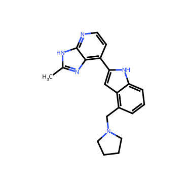 Cc1nc2c(-c3cc4c(CN5CCCC5)cccc4[nH]3)ccnc2[nH]1